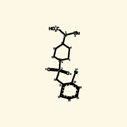 CC(C)(C)N(C(=O)O)C1CCN(S(=O)(=O)Cc2ccccc2Br)CC1